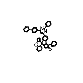 c1ccc(-c2ccc(-c3cc(-c4ccc5c(c4)C4(c6ccccc6Oc6ccccc64)c4ccc6sc7ccccc7c6c4-5)nc(-c4ccccc4)n3)cc2)cc1